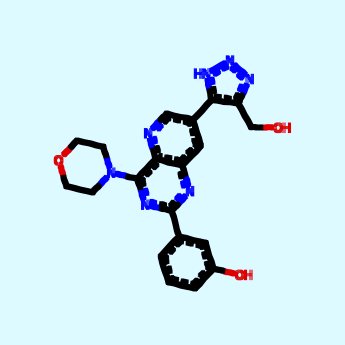 OCc1nn[nH]c1-c1cnc2c(N3CCOCC3)nc(-c3cccc(O)c3)nc2c1